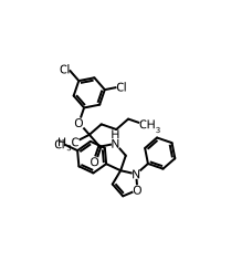 CCCCC(C)(Oc1cc(Cl)cc(Cl)c1)C(=O)NCC1(c2ccc(Cl)cc2)C=CON1c1ccccc1